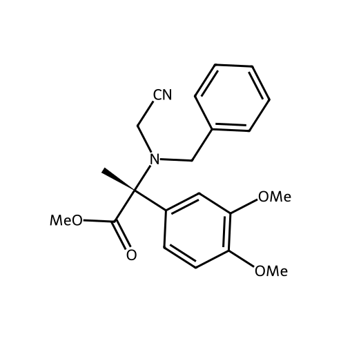 COC(=O)[C@@](C)(c1ccc(OC)c(OC)c1)N(CC#N)Cc1ccccc1